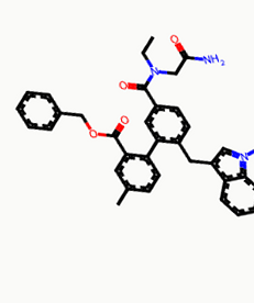 CCN(CC(N)=O)C(=O)c1ccc(Cc2cn(CC)c3cc(C#N)ccc23)c(-c2ccc(C)cc2C(=O)OCc2ccccc2)c1